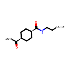 CCOC(=O)CCNC(=O)[C@H]1CC[C@@H](C(=O)OC)CC1